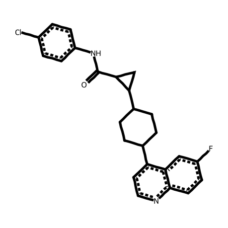 O=C(Nc1ccc(Cl)cc1)C1CC1C1CCC(c2ccnc3ccc(F)cc23)CC1